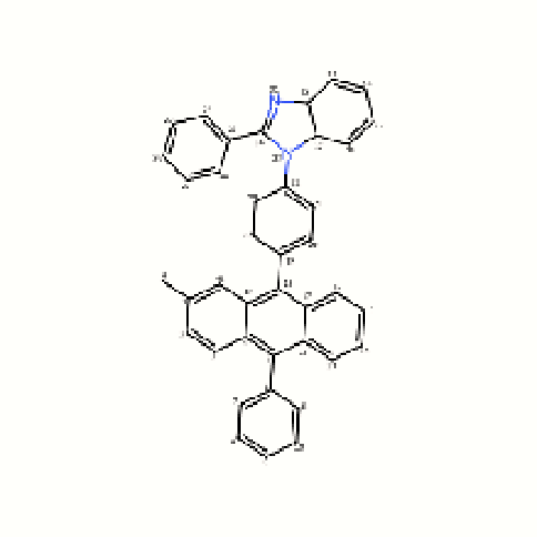 Cc1ccc2c(-c3ccccc3)c3ccccc3c(C3=CC=C(N4C(c5ccccc5)=NC5C=CC=CC54)CC3)c2c1